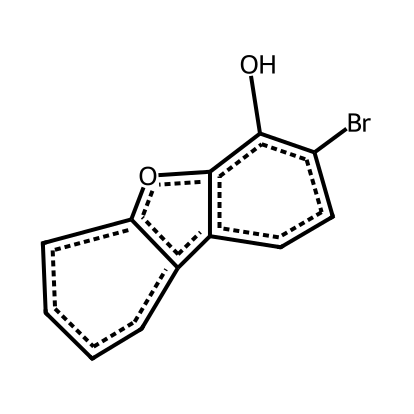 Oc1c(Br)ccc2c1oc1ccccc12